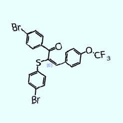 O=C(/C(=C\c1ccc(OC(F)(F)F)cc1)Sc1ccc(Br)cc1)c1ccc(Br)cc1